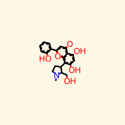 CN1CCC(c2c(O)cc(O)c3c(=O)cc(-c4ccccc4O)oc23)C1CO